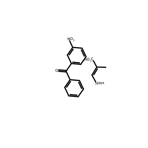 CCCCCCC=C(C)C(=O)O.O=C(c1ccccc1)c1cccc([N+](=O)[O-])c1